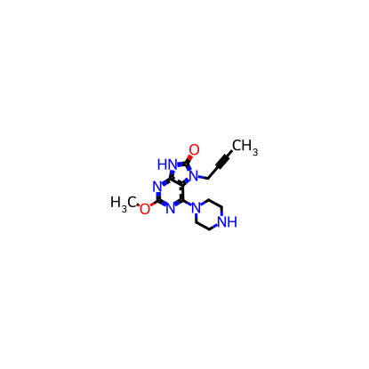 CC#CCn1c(=O)[nH]c2nc(OC)nc(N3CCNCC3)c21